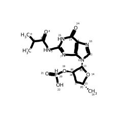 CC(C)C(=O)Nc1nc2c(ncn2[C@@H]2O[C@H](C)C[C@H]2O[PH](=O)O)c(=O)[nH]1